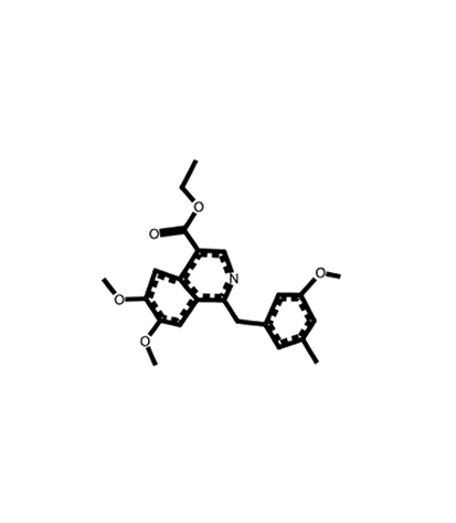 CCOC(=O)c1cnc(Cc2cc(C)cc(OC)c2)c2cc(OC)c(OC)cc12